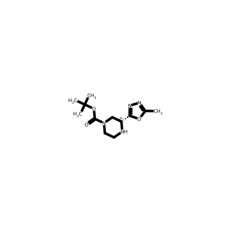 Cc1nnc([C@H]2CN(C(=O)OC(C)(C)C)CCN2)o1